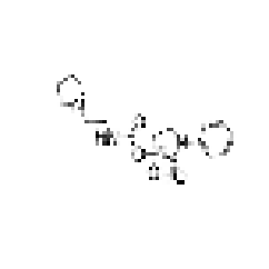 O=C(NCCN1CCCC1)O[C@@]1(O)CCN(c2ccccc2)C1=O